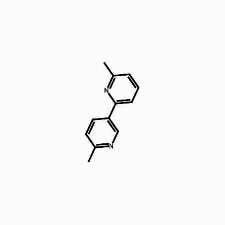 Cc1ccc(-c2cccc(C)n2)cn1